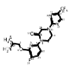 C[C@H](N)COc1nc(N2CCN(c3ncc(C(F)(F)F)cn3)CC2=O)ccc1F